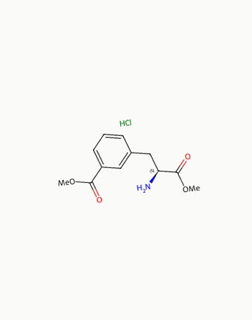 COC(=O)c1cccc(C[C@H](N)C(=O)OC)c1.Cl